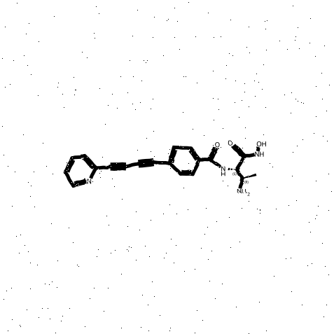 C[C@@H](N)[C@H](NC(=O)c1ccc(C#CC#Cc2ccccn2)cc1)C(=O)NO